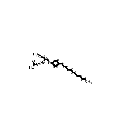 CCCCCCCCCCCCc1ccc(OCC(COC)OCCC(=O)O)cc1